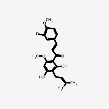 COc1ccc(C=CC(=O)c2c(OC)cc(O)c(CC=C(C)C)c2O)cc1F